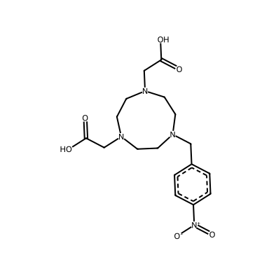 O=C(O)CN1CCN(CC(=O)O)CCN(Cc2ccc([N+](=O)[O-])cc2)CC1